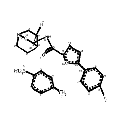 Cc1ccc(S(=O)(=O)O)cc1.O=C(N[C@H]1CN2CCC1CC2)c1ccc(-c2ccc(F)cc2)o1